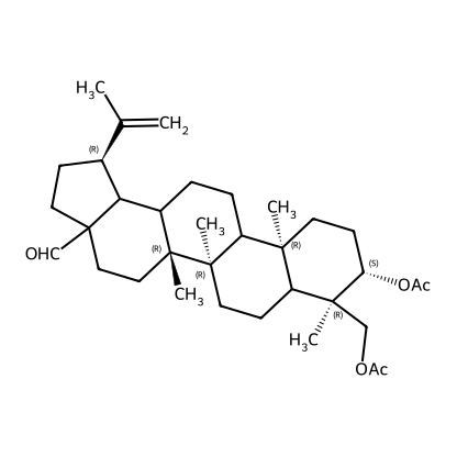 C=C(C)[C@@H]1CCC2(C=O)CC[C@]3(C)C(CCC4[C@@]5(C)CC[C@H](OC(C)=O)[C@@](C)(COC(C)=O)C5CC[C@]43C)C12